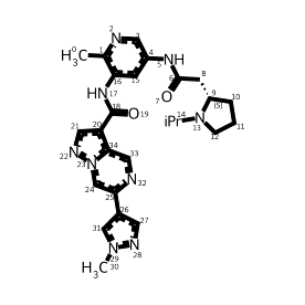 Cc1ncc(NC(=O)C[C@@H]2CCCN2C(C)C)cc1NC(=O)c1cnn2cc(-c3cnn(C)c3)ncc12